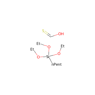 CCCCC[Si](OCC)(OCC)OCC.OC=S